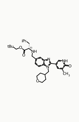 Cc1cc(-c2nc3cc(CN[C@@H](CC(C)C)C(=O)OCC(C)(C)C)ccc3n2CC2CCOCC2)c[nH]c1=O